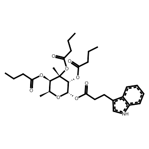 CCCC(=O)O[C@@H]1[C@H](OC(=O)CCc2c[nH]c3ccccc23)O[C@@H](C)[C@@H](OC(=O)CCC)[C@]1(C)OC(=O)CCC